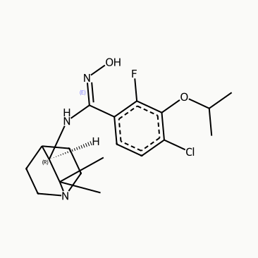 CC(C)Oc1c(Cl)ccc(/C(=N\O)N[C@@H]2C3CCN(CC3)C2(C)C)c1F